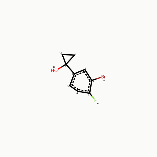 OC1(c2ccc(F)c(Br)c2)CC1